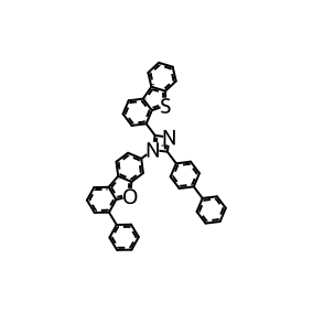 c1ccc(-c2ccc(C3=NC(c4cccc5c4sc4ccccc45)=[N+]3c3ccc4c(c3)oc3c(-c5ccccc5)cccc34)cc2)cc1